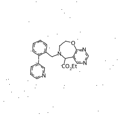 CCOC(=O)C1c2cncnc2OCCN1Cc1ccccc1-c1cccnc1